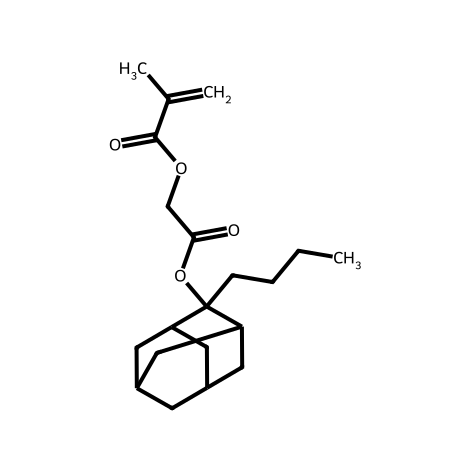 C=C(C)C(=O)OCC(=O)OC1(CCCC)C2CC3CC(C2)CC1C3